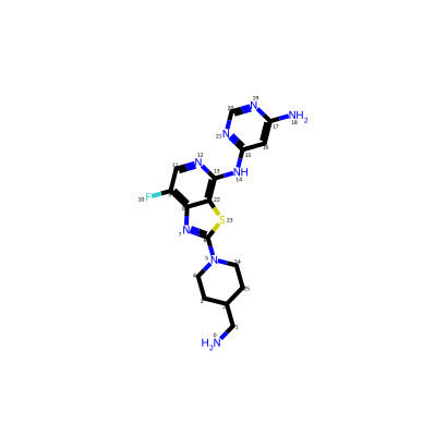 NCC1CCN(c2nc3c(F)cnc(Nc4cc(N)ncn4)c3s2)CC1